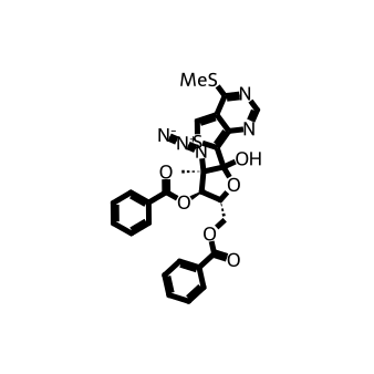 CSc1ncnc2c(C3(O)O[C@H](COC(=O)c4ccccc4)[C@@H](OC(=O)c4ccccc4)[C@@]3(C)N=[N+]=[N-])scc12